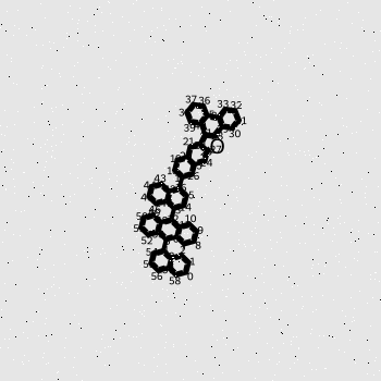 c1ccc2c(-c3c4ccccc4c(-c4ccc(-c5ccc6cc7c(cc6c5)oc5c6ccccc6c6ccccc6c75)c5ccccc45)c4ccccc34)cccc2c1